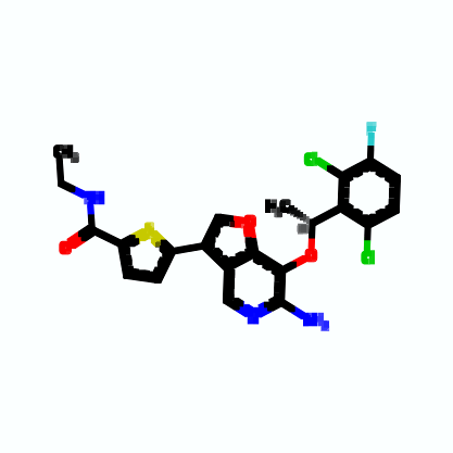 CCNC(=O)c1ccc(-c2coc3c(O[C@H](C)c4c(Cl)ccc(F)c4Cl)c(N)ncc23)s1